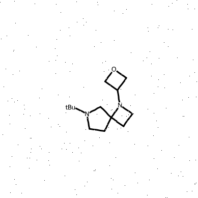 CC(C)(C)N1CCC2(CCN2C2COC2)C1